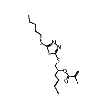 C=C(C)C(=O)OC(CCCC)CSc1nnc(SCCCCC)s1